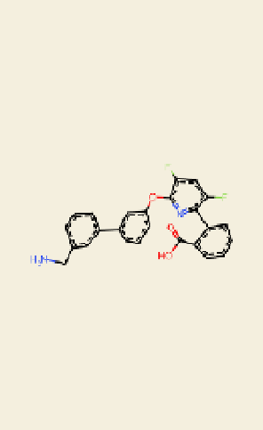 NCc1cccc(-c2cccc(Oc3nc(-c4ccccc4C(=O)O)c(F)cc3F)c2)c1